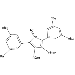 CCCCCCCCCC1=C(c2cc(CCCC)cc(CCCC)c2)[N+](=[N-])C(c2cc(CCCC)cc(CCCC)c2)=C1CCCCCCCC